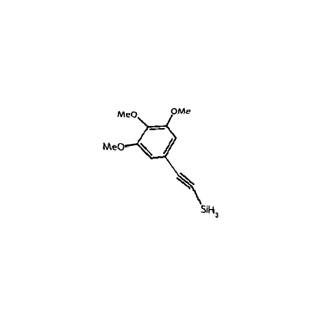 COc1cc(C#C[SiH3])cc(OC)c1OC